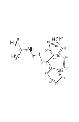 CC(C)NCCCC1c2ccccc2C=Cc2ccccc21.Cl